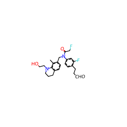 Cc1c(CN(C(=O)CF)c2ccc(CCC=O)c(F)c2)ccc2c1N(CCO)CCC2